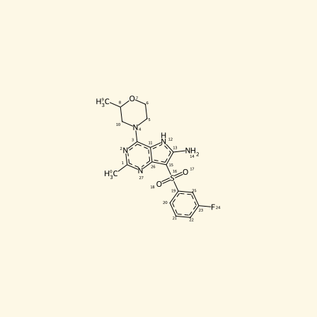 Cc1nc(N2CCOC(C)C2)c2[nH]c(N)c(S(=O)(=O)c3cccc(F)c3)c2n1